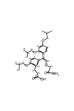 CC(C)COc1ccc(C(=NOCC(N)=O)c2ccc(OCC(C)C)c(CCC(=O)O)c2)c(OCC(C)C)c1